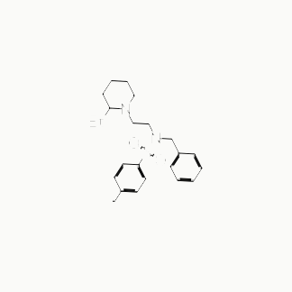 CCC1CCCCN1CCN(Cc1ccccc1)S(=O)(=O)c1ccc(I)cc1